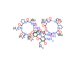 CCC(C)C1NC(=O)C(NC(=O)c2c3nc4c(C(=O)NC5C(=O)NC(C(C)CC)C(=O)N6CCCC6C(=O)N(C)CC(=O)N(C)C(C(C)C)C(=O)OC5C)ccc(C)c4oc-3c(C)c(=O)c2N)C(C)OC(=O)C(C(C)C)N(C)C(=O)CN(C)C(=O)C2CCCN2C1=O